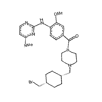 CNc1ccnc(Nc2ccc(C(=O)N3CCN(C[C@H]4CC[C@@H](CBr)CC4)CC3)cc2OC)n1